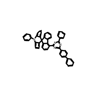 c1ccc(-c2ccc(-c3nc(-c4ccccc4)nc(-c4cccc5c4-c4ccccc4C54c5ccccc5N(c5ccccc5)c5ccccc54)n3)cc2)cc1